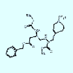 CC(C)(C)OC(=O)N[C@@H](CNN(CC1CCN(C(=O)O)CC1)C(=O)OC(C)(C)C)CC(=O)OCc1ccccc1